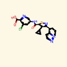 O=C(O)c1ncc(NC(=O)c2snc(-c3cccn4nccc34)c2C2CC2)cc1Cl